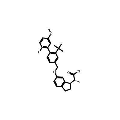 COc1ccc(F)c(-c2ccc(COc3ccc4c(c3)C([C@@H](C)C(=O)O)CC4)cc2C(C)(C)C)c1